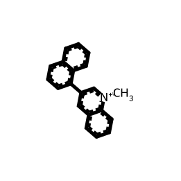 C[n+]1cc(-c2cccc3ccccc23)cc2ccccc21